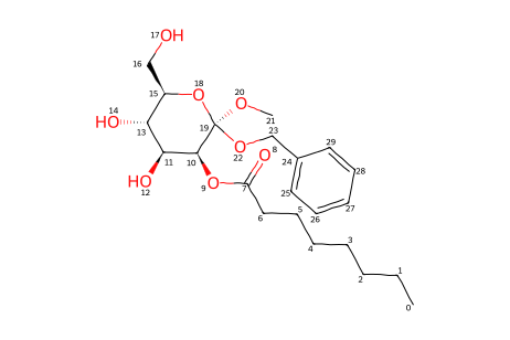 CCCCCCCC(=O)O[C@H]1[C@@H](O)[C@H](O)[C@@H](CO)O[C@@]1(OC)OCc1ccccc1